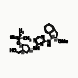 CO[C@H]1Cc2ccccc2[C@H]1Nc1ncnc(N[C@@H]2C[C@@H](CO)[C@H](O[Si](C)(C)C(C)(C)C)C2)n1